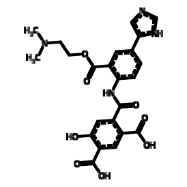 CN(C)CCOC(=O)c1cc(-c2cnc[nH]2)ccc1NC(=O)c1cc(O)c(C(=O)O)cc1C(=O)O